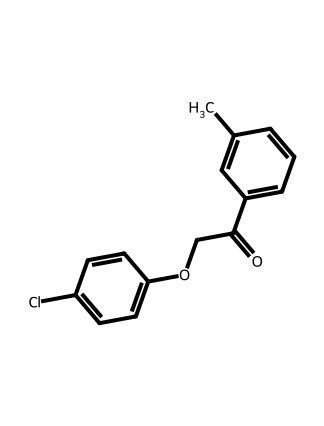 Cc1cccc(C(=O)COc2ccc(Cl)cc2)c1